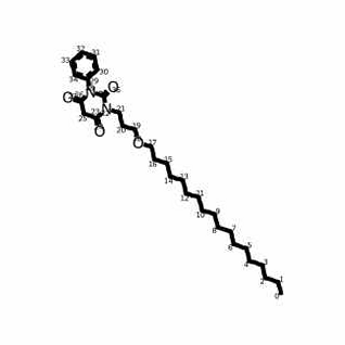 CCCCCCCCCCCCCCCCCCOCCCN1C(=O)CC(=O)N(c2ccccc2)C1=O